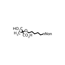 CCCCCCCCCCCCCCOC(C)(C(=O)O)C(=O)O